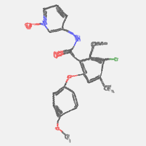 COc1c(Cl)c(C(F)(F)F)cc(Oc2ccc(OC(F)(F)F)cc2)c1C(=O)Nc1ccc[n+]([O-])c1